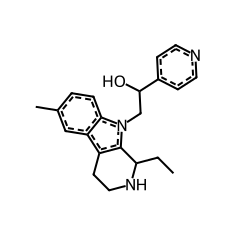 CCC1NCCc2c1n(CC(O)c1ccncc1)c1ccc(C)cc21